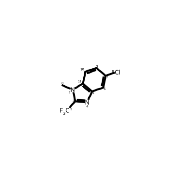 Cn1c(C(F)(F)F)nc2cc(Cl)ccc21